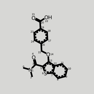 CN(C)C(=O)c1sc2ccccc2c1OCc1ccc(C(=O)O)cc1